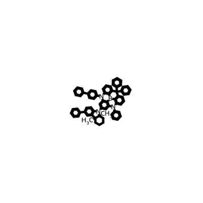 CC12CCCCC1(C)N(c1cc3c4c(c1)N(c1ccc(-c5ccccc5)cc1)c1cccc5c1B4c1c(cccc1C5(c1ccccc1)c1ccccc1)N3c1ccccc1)c1ccc(-c3ccccc3)cc12